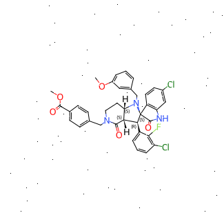 COC(=O)c1ccc(CN2CC[C@H]3[C@@H](C2=O)[C@H](c2cccc(Cl)c2F)[C@]2(C(=O)Nc4cc(Cl)ccc42)N3Cc2cccc(OC)c2)cc1